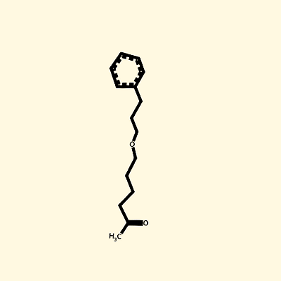 CC(=O)CCCCOCCCc1ccccc1